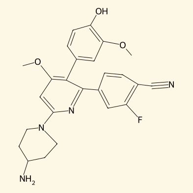 COc1cc(-c2c(OC)cc(N3CCC(N)CC3)nc2-c2ccc(C#N)c(F)c2)ccc1O